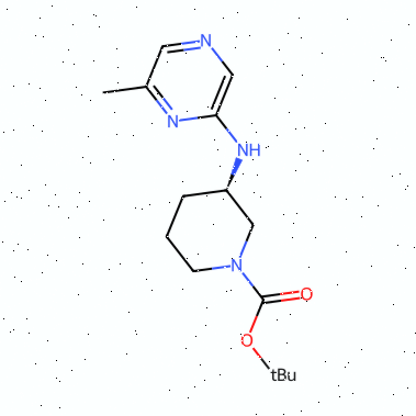 Cc1cncc(N[C@@H]2CCCN(C(=O)OC(C)(C)C)C2)n1